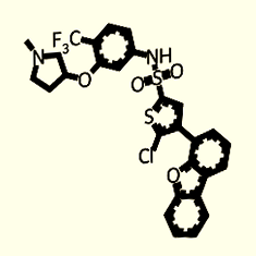 CN1CCC(Oc2cc(NS(=O)(=O)c3cc(-c4cccc5c4oc4ccccc45)c(Cl)s3)ccc2C(F)(F)F)C1